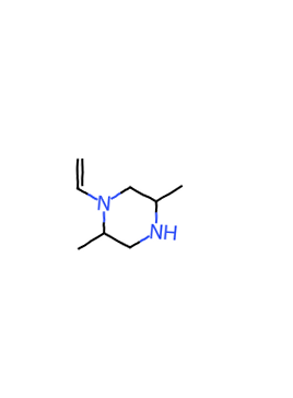 C=CN1CC(C)NCC1C